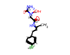 CC(/C=C/c1ccc(Br)cc1)NC(=O)CN(O)C(N)=O